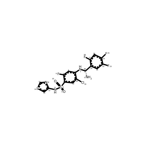 N[C@H](Nc1cc(F)c(S(=O)(=O)Nc2cscn2)cc1Cl)c1cc(F)c(F)cc1F